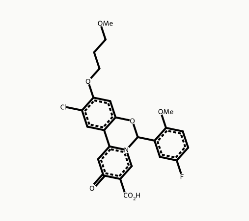 COCCCOc1cc2c(cc1Cl)-c1cc(=O)c(C(=O)O)cn1C(c1cc(F)ccc1OC)O2